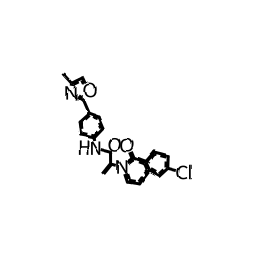 C=C(C(=O)Nc1ccc(-c2nc(C)co2)cc1)n1ccc2cc(Cl)ccc2c1=O